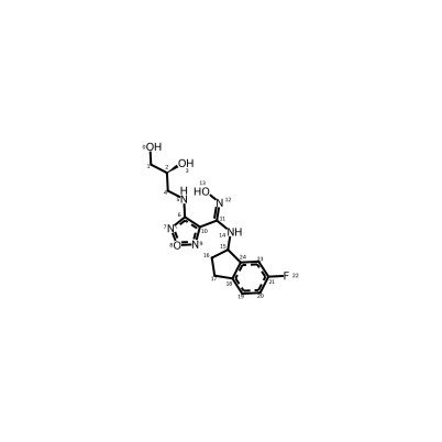 OC[C@@H](O)CNc1nonc1/C(=N\O)NC1CCc2ccc(F)cc21